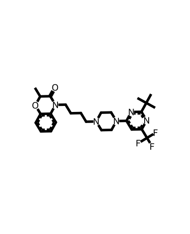 CC1Oc2ccccc2N(CCCCN2CCN(c3cc(C(F)(F)F)nc(C(C)(C)C)n3)CC2)C1=O